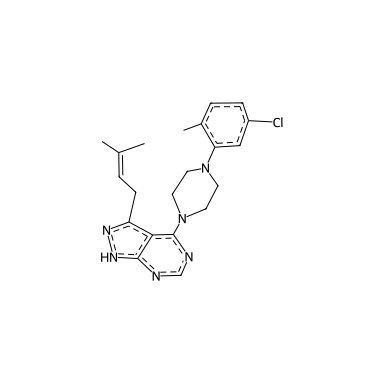 CC(C)=CCc1n[nH]c2ncnc(N3CCN(c4cc(Cl)ccc4C)CC3)c12